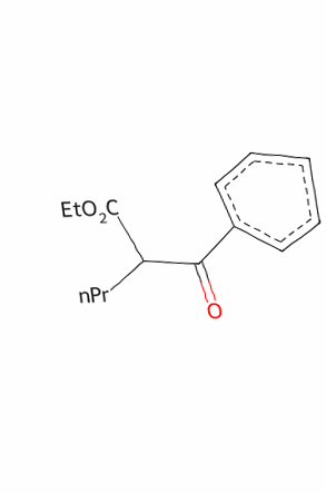 CCCC(C(=O)OCC)C(=O)c1ccccc1